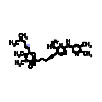 CCCNc1nc(Nc2cnc(C)c(C)c2)ncc1C#CCCCNC(=O)[C@H](C)N(C)C(=O)/C=C/CN(C)C